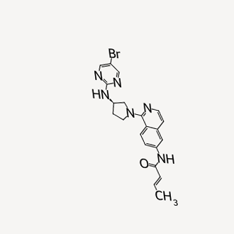 C/C=C/C(=O)Nc1ccc2c(N3CC[C@@H](Nc4ncc(Br)cn4)C3)nccc2c1